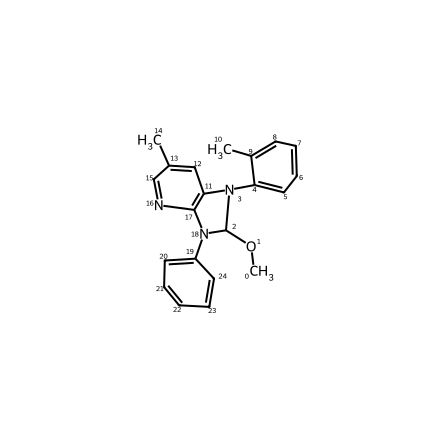 COC1N(c2ccccc2C)c2cc(C)cnc2N1c1ccccc1